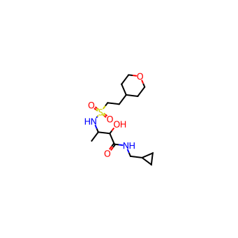 CC(NS(=O)(=O)CCC1CCOCC1)C(O)C(=O)NCC1CC1